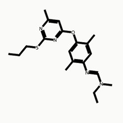 CCCSc1nc(C)cc(Oc2cc(C)c(/N=C/N(C)CC)cc2C)n1